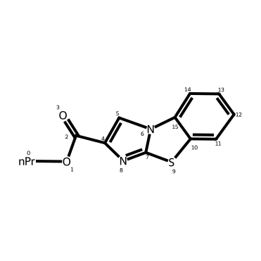 CCCOC(=O)c1cn2c(n1)sc1ccccc12